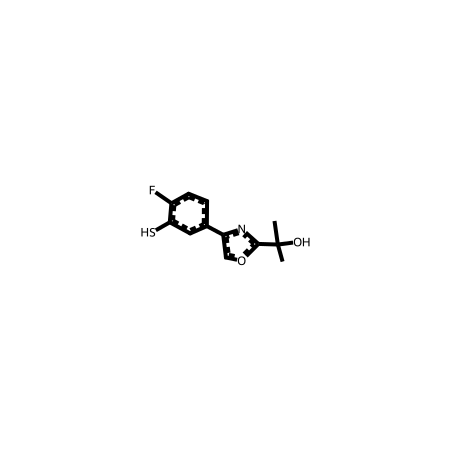 CC(C)(O)c1nc(-c2ccc(F)c(S)c2)co1